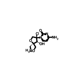 CC[C@]1(CO)OC[C@](Cl)(n2ccc(N)nc2=O)[C@@H]1O